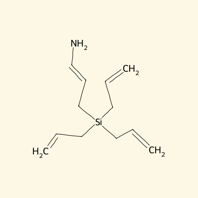 C=CC[Si](CC=C)(CC=C)CC=CN